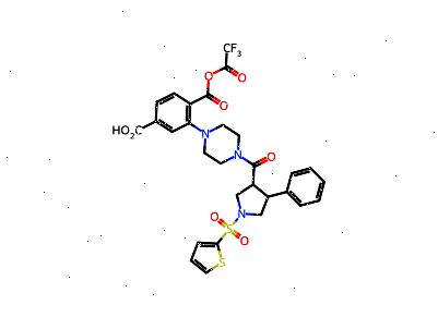 O=C(O)c1ccc(C(=O)OC(=O)C(F)(F)F)c(N2CCN(C(=O)C3CN(S(=O)(=O)c4cccs4)CC3c3ccccc3)CC2)c1